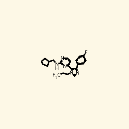 Fc1ccc(-c2ncn(CCC(F)(F)F)c2-c2ccnc(NCC3CCCC3)n2)cc1